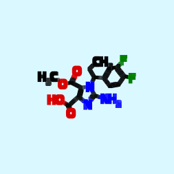 CCC(c1ccc(F)c(F)c1)n1c(N)nc(C(=O)O)c1C(=O)OC